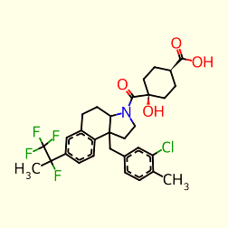 Cc1ccc(CC23CCN(C(=O)[C@]4(O)CC[C@@H](C(=O)O)CC4)C2CCc2cc(C(C)(F)C(F)(F)F)ccc23)cc1Cl